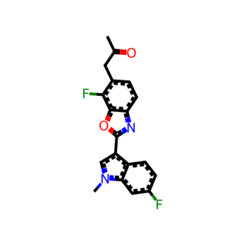 CC(=O)Cc1ccc2nc(-c3cn(C)c4cc(F)ccc34)oc2c1F